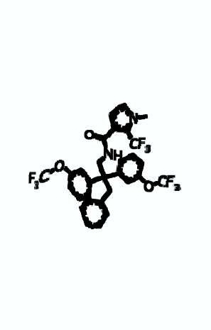 Cn1ccc(C(=O)NCC(Cc2ccccc2)(c2cccc(OC(F)(F)F)c2)c2cccc(OC(F)(F)F)c2)c1C(F)(F)F